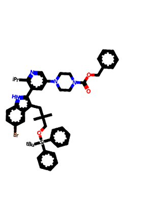 CC(C)c1ncc(N2CCN(C(=O)OCc3ccccc3)CC2)cc1-c1[nH]c2ccc(Br)cc2c1CC(C)(C)CO[Si](c1ccccc1)(c1ccccc1)C(C)(C)C